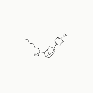 CCCCCCC(O)C1C2CC3CC1CC(c1ccc(OC)cc1)(C3)C2